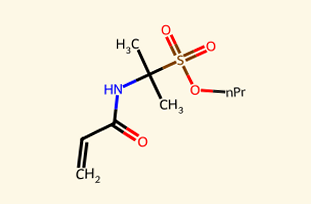 C=CC(=O)NC(C)(C)S(=O)(=O)OCCC